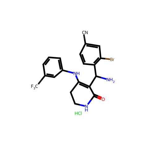 Cl.N#Cc1ccc(C(N)C2=C(Nc3cccc(C(F)(F)F)c3)CCNC2=O)c(Br)c1